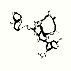 Cc1cc(N)cc(-c2nc3c4c(nc(OC[C@@H]5CC[C@H]6COCCN65)nc4c2F)NCCNC(C)C[C@H](C)O3)c1CC(F)F